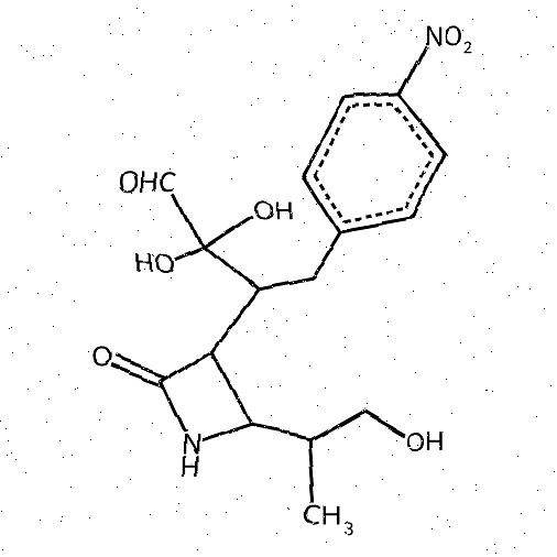 CC(CO)C1NC(=O)C1C(Cc1ccc([N+](=O)[O-])cc1)C(O)(O)C=O